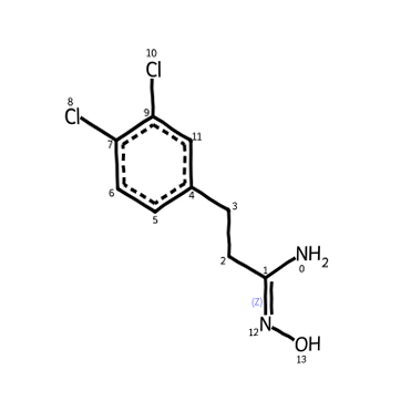 N/C(CCc1ccc(Cl)c(Cl)c1)=N\O